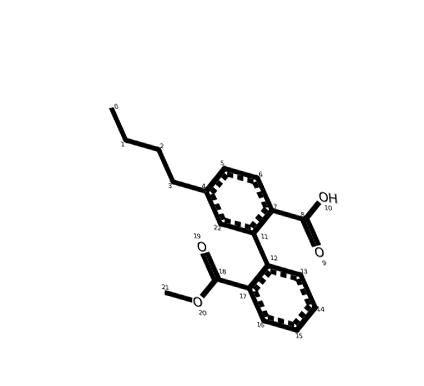 CCCCc1ccc(C(=O)O)c(-c2ccccc2C(=O)OC)c1